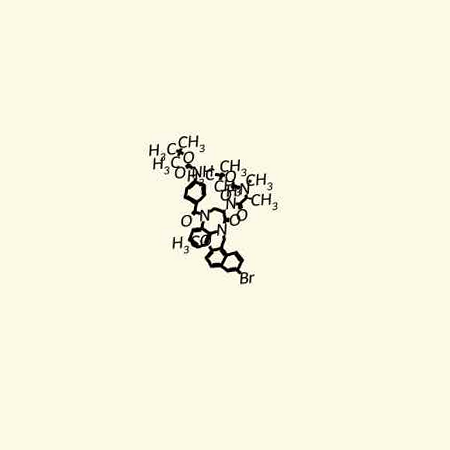 COc1ccc2cc(Br)ccc2c1CN1C(=O)[C@@H](NC(=O)[C@H](C)N(C)C(=O)OC(C)(C)C)CN(C(=O)c2ccc(NC(=O)OC(C)(C)C)cc2)c2ccccc21